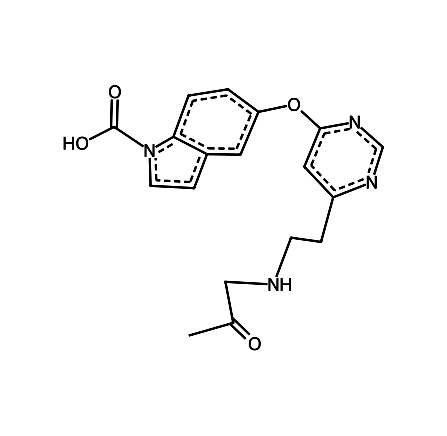 CC(=O)CNCCc1cc(Oc2ccc3c(ccn3C(=O)O)c2)ncn1